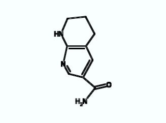 NC(=O)c1cnc2c(c1)CCCN2